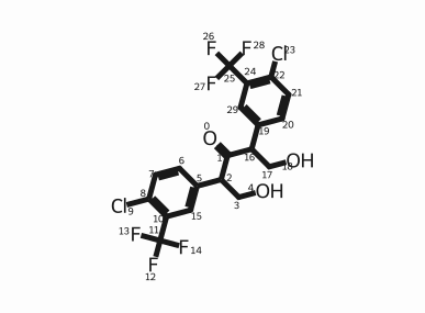 O=C(C(CO)c1ccc(Cl)c(C(F)(F)F)c1)C(CO)c1ccc(Cl)c(C(F)(F)F)c1